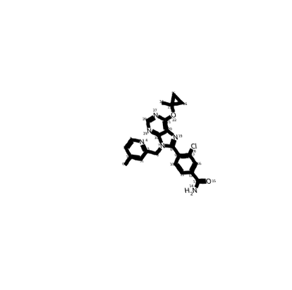 Cc1ccnc(Cn2c(-c3ccc(C(N)=O)cc3Cl)nc3c(OC4(C)CC4)ncnc32)c1